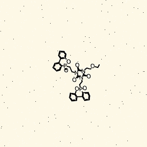 CCOCCn1c(=O)n(CCP2(=O)Oc3ccccc3-c3ccccc32)c(=O)n(CCP2(=O)Oc3ccccc3-c3ccccc32)c1=O